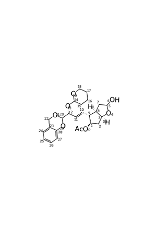 CC(=O)O[C@@H]1C[C@@H]2OC(O)C[C@@H]2[C@H]1/C=C/[C@@H](OC1CCCCO1)C1OCc2ccccc2O1